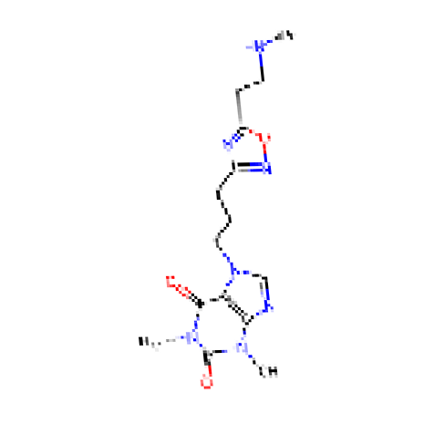 CC(C)NCCc1nc(CCCn2cnc3c2c(=O)n(C)c(=O)n3C)no1